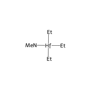 C[CH2][Hf]([CH2]C)([CH2]C)[NH]C